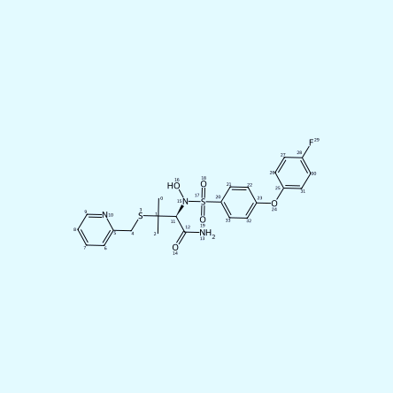 CC(C)(SCc1ccccn1)[C@H](C(N)=O)N(O)S(=O)(=O)c1ccc(Oc2ccc(F)cc2)cc1